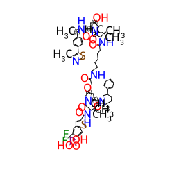 Cc1ncsc1-c1ccc([C@H](C)NC(=O)[C@@H]2C[C@@H](O)CN2C(=O)C(NC(=O)CCCCCCNC(=O)CO[C@H]2C[C@@H](C(=O)N3CCCC(c4ccccc4)C3)N(C(=O)C(NC(=O)c3cc4cc(C(F)(F)P(=O)(O)O)ccc4s3)C(C)(C)C)C2)C(C)(C)C)cc1